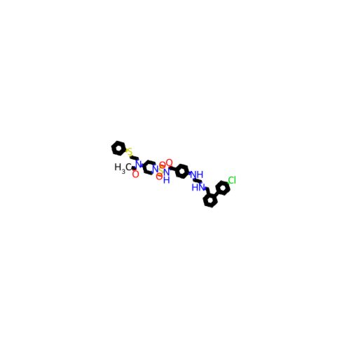 CC(=O)N(CCSc1ccccc1)C1CCN(S(=O)(=O)NC(=O)c2ccc(NCCNCc3ccccc3-c3ccc(Cl)cc3)cc2)CC1